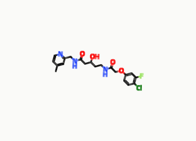 Cc1ccnc(CNC(=O)CC(O)CCNC(=O)COc2ccc(Cl)c(F)c2)c1